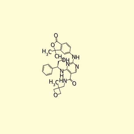 CC1(CNC(=O)c2cnc(Nc3ccc4c(c3)C(C)(C)OC4=O)nc2N[C@H](CO)c2ccccc2)COC1